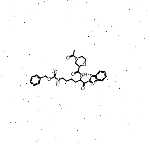 CC(=O)N1CCOC(C(=O)NC(CCCCNC(=O)OCc2ccccc2)C(=O)c2nc3ccccc3s2)C1